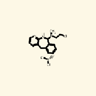 CN(CCCl)C1Nc2ncccc2Cc2ccccc21.[O-][S+](Cl)Cl